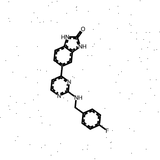 O=c1[nH]c2ccc(-c3ccnc(NCc4ccc(F)cc4)n3)cc2[nH]1